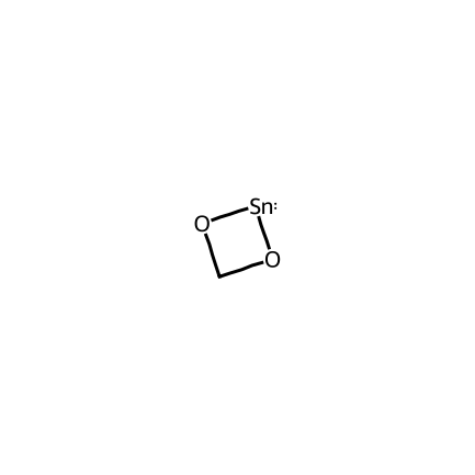 C1[O][Sn][O]1